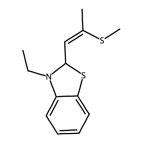 CCN1c2ccccc2SC1/C=C(/C)SC